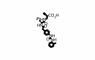 C#C[C@@H](CNC(=O)[C@H](CC(C)C)NC(=O)Cc1ccc(NC(=O)Nc2ccccc2C)cc1)C(=O)O